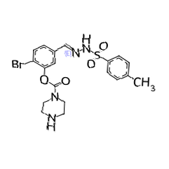 Cc1ccc(S(=O)(=O)N/N=C/c2ccc(Br)c(OC(=O)N3CCNCC3)c2)cc1